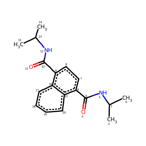 CC(C)NC(=O)c1ccc(C(=O)NC(C)C)c2ccccc12